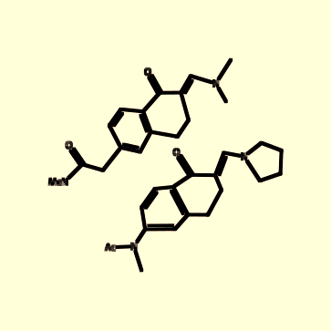 CC(=O)N(C)c1ccc2c(c1)CCC(=CN1CCCC1)C2=O.CNC(=O)Cc1ccc2c(c1)CCC(=CN(C)C)C2=O